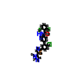 Cn1cncc1-c1cnc(-c2ccc(Cl)c(-c3ccc(NC(=O)c4c(F)cccc4F)nc3)c2)s1